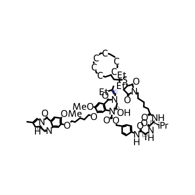 CC/C(C)=C\N1C[C@H](O)N(C(=O)OCc2ccc(NC(=O)[C@H](C)NC(=O)[C@@H](NC(=O)CCCCCN3C(=O)CC(SC(CC)(CC)CC4CCCCCCCCCCCCC4)C3=O)C(C)C)cc2)c2cc(OCCCCCOc3cc4c(cc3OC)C(=O)N3C=C(C)C[C@H]3C=N4)c(OC)cc2C1=O